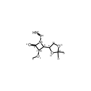 CO[C@H]1C(=O)N(P=N)C1C1COC(C)(C)O1